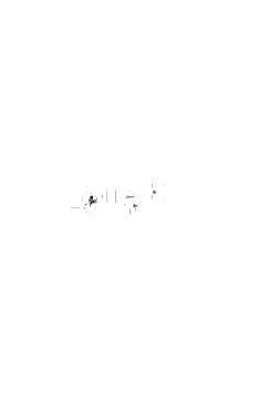 CCCCCCOC(=O)C(C)(Br)CC(C)(C)C(=O)OCCCCCP(=O)(O)O